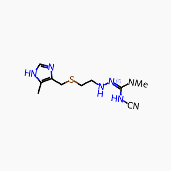 CN/C(=N/NCCSCc1nc[nH]c1C)NC#N